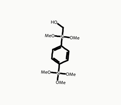 CO[Si](CO)(OC)c1ccc([Si](OC)(OC)OC)cc1